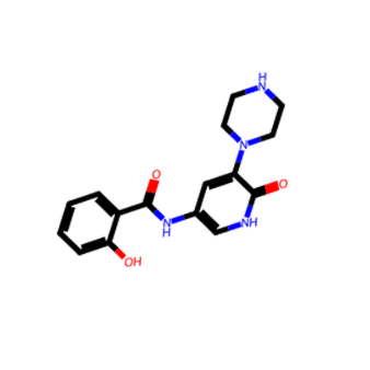 O=C(Nc1c[nH]c(=O)c(N2CCNCC2)c1)c1ccccc1O